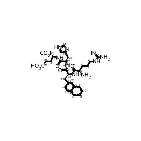 N=C(N)NCCC[C@H](N)C(=O)N[C@@H](Cc1ccc2ccccc2c1)C(=O)N[C@H](Cc1c[nH]cn1)C(=O)N[C@H](CCC(=O)O)C(=O)O